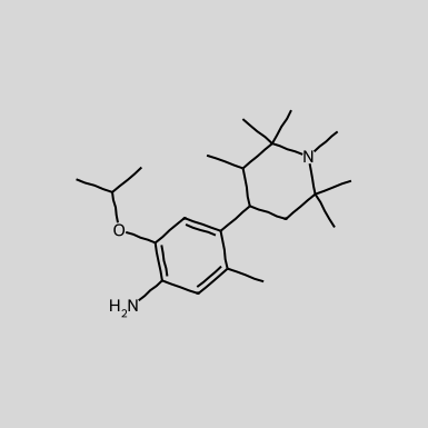 Cc1cc(N)c(OC(C)C)cc1C1CC(C)(C)N(C)C(C)(C)C1C